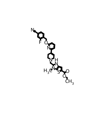 CCOC(=O)c1cc2c(s1)N(C)C(CN1CC=C(c3cccc(OCc4ccc(C#N)cc4F)n3)CC1)N2